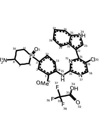 COc1cc(P2(=O)CCC(N)CC2)ccc1Nc1ncc(Cl)c(-c2c[nH]c3ccccc23)n1.O=C(O)C(F)(F)F